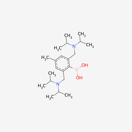 Cc1cc(CN(C(C)C)C(C)C)c(B(O)O)c(CN(C(C)C)C(C)C)c1